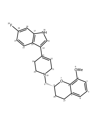 COc1cccc2c1O[C@@H](CN1CC=C(c3c[nH]c4cc(F)ccc34)CC1)CC2